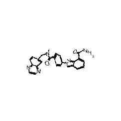 CN(Cc1ccc2nccnc2c1)C(=O)c1ccc(-n2cc3cccc(C(N)=O)c3n2)cc1